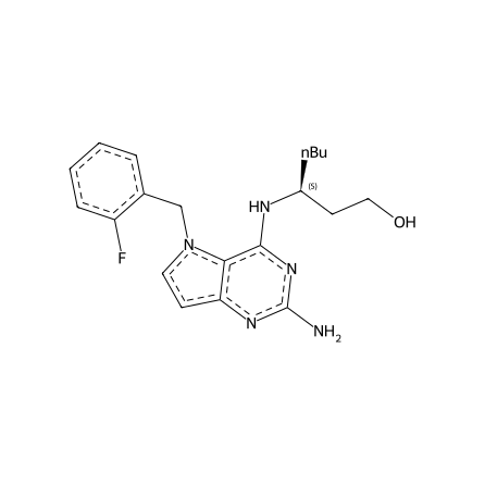 CCCC[C@@H](CCO)Nc1nc(N)nc2ccn(Cc3ccccc3F)c12